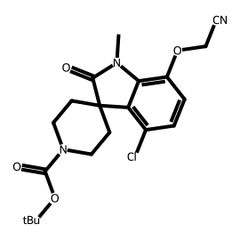 CN1C(=O)C2(CCN(C(=O)OC(C)(C)C)CC2)c2c(Cl)ccc(OCC#N)c21